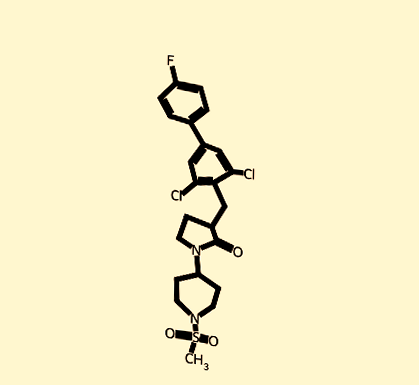 CS(=O)(=O)N1CCC(N2CCC(Cc3c(Cl)cc(-c4ccc(F)cc4)cc3Cl)C2=O)CC1